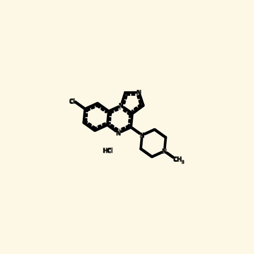 CN1CCN(c2nc3ccc(Cl)cc3n3cncc23)CC1.Cl